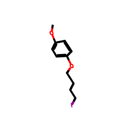 COc1ccc(OCCCCI)cc1